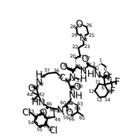 CC[C@H](NC(=O)C1(C(F)(F)F)CCCCC1)C(=O)N[C@@H](CCCCN1CCOCC1)C(=O)N(C)[C@H]1CCCCNC(=O)C(C)(C)NC(=O)[C@H](Cc2cc(Cl)ccc2Cl)N(C)C(=O)[C@H](CC(C)C)NC1=O